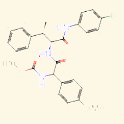 COc1ccc(C(NC(=O)OC(C)(C)C)C(=O)N[C@H](C(=O)Nc2ccc(Br)cc2)[C@H](C)c2ccccc2)cc1